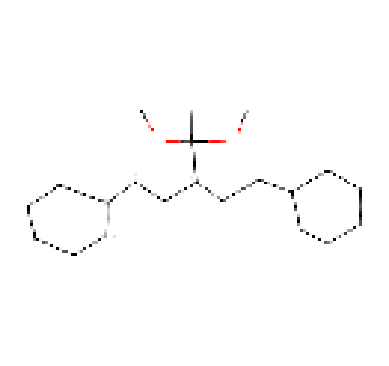 COC(C)(OC)C(CCC1CCCCC1)CCC1CCCCC1